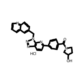 Cl.O=C(c1ccc(-c2ccc3nnn(Cc4ccc5ncccc5c4)c3n2)cc1)N1CCC(O)C1